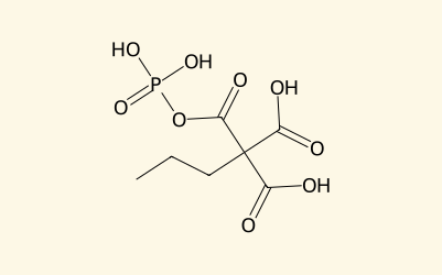 CCCC(C(=O)O)(C(=O)O)C(=O)OP(=O)(O)O